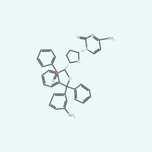 Nc1cccc(C(OC(C(=O)c2ccccc2)[C@@H]2CC[C@H](n3ccc(N)nc3=O)O2)(c2ccccc2)c2ccccc2)c1